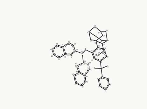 CC(C)(c1ccccc1)c1ccc(C23CC4CC(CC(C4)C2CP)C3)c(CP(c2ccc3ccccc3n2)c2ccc3ccccc3n2)c1